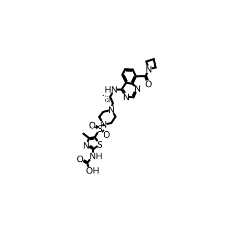 Cc1nc(NC(=O)O)sc1S(=O)(=O)N1CCN(C[C@H](C)Nc2ncnc3c(C(=O)N4CCC4)cccc23)CC1